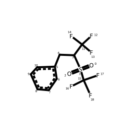 O=S(=O)(C(Cc1ccccc1)C(F)(F)F)C(F)(F)F